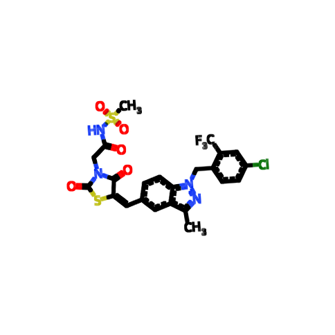 Cc1nn(Cc2ccc(Cl)cc2C(F)(F)F)c2ccc(C=C3SC(=O)N(CC(=O)NS(C)(=O)=O)C3=O)cc12